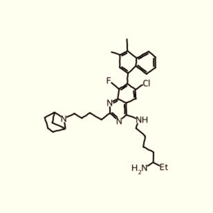 CCC(N)CCCCNc1nc(CCCCN2C3CCCC2C3)nc2c(F)c(-c3cc(C)c(C)c4ccccc34)c(Cl)cc12